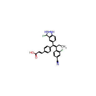 CC/C(=C(/c1ccc(/C=C/C(=O)O)cc1)c1ccc2c(c1)C(F)NN2)c1ccc(C#N)cc1F